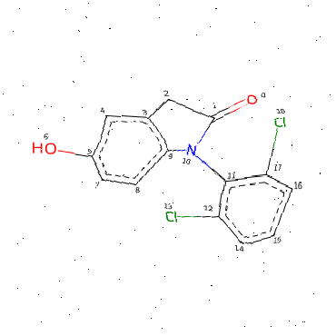 O=C1Cc2cc(O)ccc2N1c1c(Cl)cccc1Cl